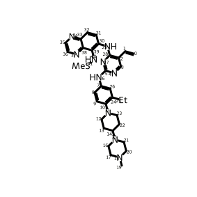 C=Cc1cnc(Nc2ccc(N3CCC(N4CCN(C)CC4)CC3)c(CC)c2)nc1Nc1ccc2nccnc2c1NSC